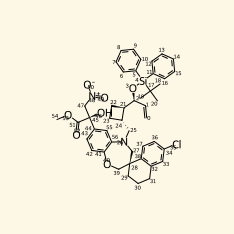 C=C[C@H](O[Si](c1ccccc1)(c1ccccc1)C(C)(C)C)[C@@H]1CC[C@H]1CN1C[C@@]2(CCCc3cc(Cl)ccc32)COc2ccc([C@@](O)(C[N+](=O)[O-])C(=O)OC)cc21